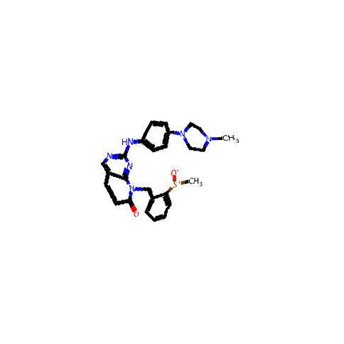 CN1CCN(c2ccc(Nc3ncc4ccc(=O)n(Cc5ccccc5[S+](C)[O-])c4n3)cc2)CC1